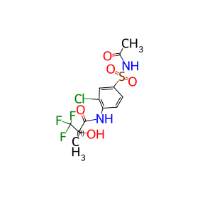 CC(=O)NS(=O)(=O)c1ccc(NC(=O)[C@@](C)(O)C(F)(F)F)c(Cl)c1